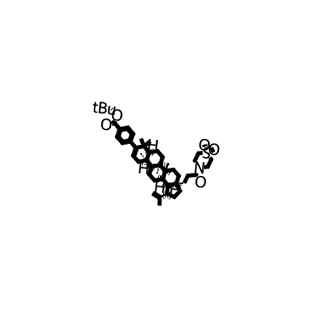 C=C(C)[C@@H]1CC[C@]2(CCC(=O)N3CCS(=O)(=O)CC3)CC[C@]3(C)[C@H](CC[C@@H]4[C@@]5(C)CC=C(c6ccc(C(=O)OC(C)(C)C)cc6)C(C)(C)[C@@H]5CC[C@]43C)[C@@H]12